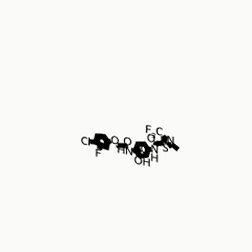 Cc1nc(C(F)(F)F)c(C(=O)NC23CCC(NC(=O)COc4ccc(Cl)c(F)c4)(CC2)C(O)C3)s1